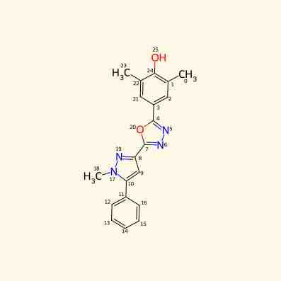 Cc1cc(-c2nnc(-c3cc(-c4ccccc4)n(C)n3)o2)cc(C)c1O